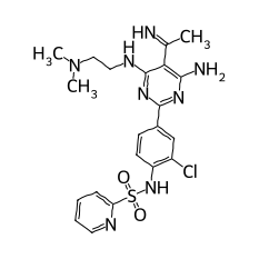 CC(=N)c1c(N)nc(-c2ccc(NS(=O)(=O)c3ccccn3)c(Cl)c2)nc1NCCN(C)C